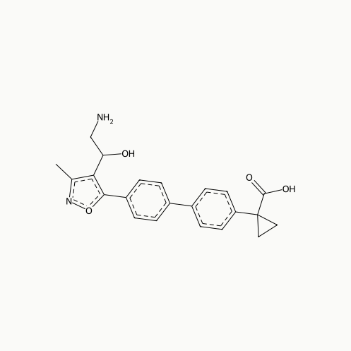 Cc1noc(-c2ccc(-c3ccc(C4(C(=O)O)CC4)cc3)cc2)c1C(O)CN